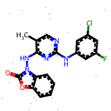 Cc1cnc(Nc2cc(F)cc(Cl)c2)nc1Nn1c(=O)oc2ccccc21